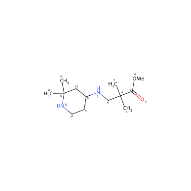 COC(=O)C(C)(C)CNC1CCNC(C)(C)C1